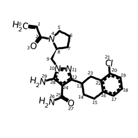 C=CC(=O)N1CCC[C@H]1Cn1nc(C2CCc3cccc(Cl)c3C2)c(C(N)=O)c1N